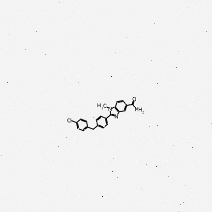 Cn1c(-c2ccc(Cc3ccc(Cl)cc3)cc2)nc2cc(C(N)=O)ccc21